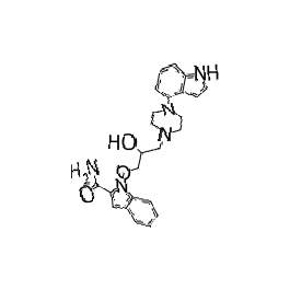 NC(=O)c1cc2ccccc2n1OCC(O)CN1CCN(c2cccc3[nH]ccc23)CC1